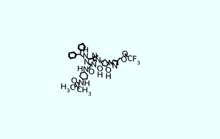 CN(C)C(=O)NC1CCC(NC(=O)c2nc(NCC(c3ccccc3)c3ccccc3)c3ncn([C@@H]4C[C@H](n5cc(COC(=O)C(F)(F)F)cn5)C(O)C4O)c3n2)CC1